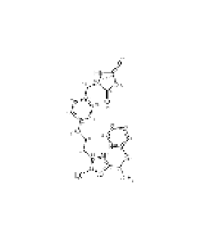 Cc1oc(C(C)Sc2ccccn2)nc1CCOc1ccc(CC2NC(=O)SC2=O)cc1